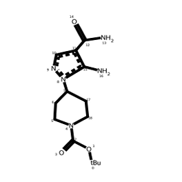 CC(C)(C)OC(=O)N1CCC(n2ncc(C(N)=O)c2N)CC1